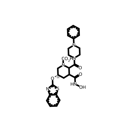 O=C(NO)C1C[C@H](Oc2nc3ccccc3s2)CN(C(=O)O)C1C(=O)N1CCN(c2ccccc2)CC1